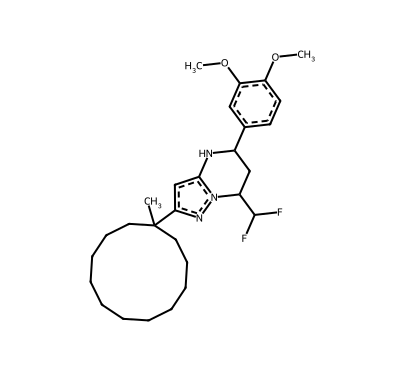 COc1ccc(C2CC(C(F)F)n3nc(C4(C)CCCCCCCCCCC4)cc3N2)cc1OC